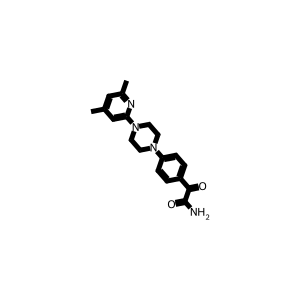 Cc1cc(C)nc(N2CCN(c3ccc(C(=O)C(N)=O)cc3)CC2)c1